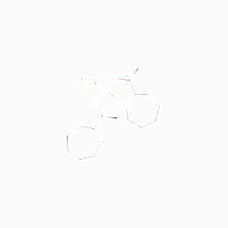 C[C@H](OP(N)(=O)O[C@@H](C)C1OCCCCO1)C1OCCCCO1